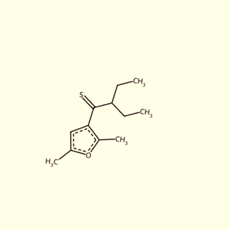 CCC(CC)C(=S)c1cc(C)oc1C